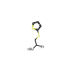 CCCCC(CC)CSc1cc[c]s1